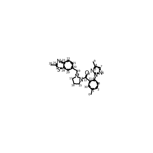 Cc1ccc(-n2ncc(C)n2)c(C(=O)N2CCCN2Cc2ccc3nc(C)sc3c2)c1